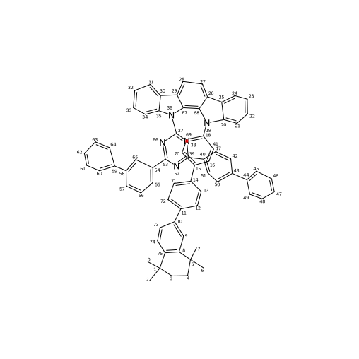 CC1(C)CCC(C)(C)c2cc(-c3ccc(-c4ccc(-n5c6ccccc6c6ccc7c8ccccc8n(-c8nc(-c9ccc(-c%10ccccc%10)cc9)nc(-c9cccc(-c%10ccccc%10)c9)n8)c7c65)cc4)cc3)ccc21